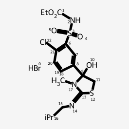 Br.CCOC(=O)NS(=O)(=O)c1cc(C2(O)CSC(=NCC(C)C)N2C)ccc1Cl